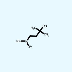 CCCCN(CCC(C)(C)O)C(C)C